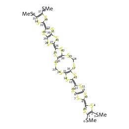 CSC1=C(SC)SC(=C2SC3=C(S2)SC(=C2SC4=C(SCSC5=C(SCS4)SC(=C4SC6=C(SC(=C7SC(SC)=C(SC)S7)S6)S4)S5)S2)S3)S1